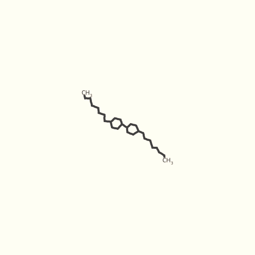 CCCCCCCCC1CCC(C2CCC(CCCCCCCC)CC2)CC1